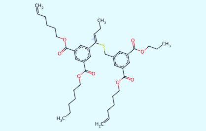 C=CCCCCOC(=O)c1cc(CS/C(=C\CC)c2cc(C(=O)OCCCCC=C)cc(C(=O)OCCCCCC)c2)cc(C(=O)OCCC)c1